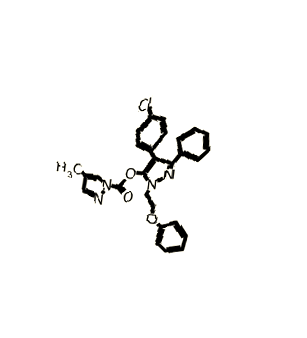 Cc1cnn(C(=O)Oc2c(-c3ccc(Cl)cc3)c(-c3ccccc3)nn2CCOc2ccccc2)c1